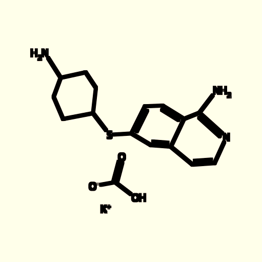 Nc1nccc2cc(SC3CCC(N)CC3)ccc12.O=C([O-])O.[K+]